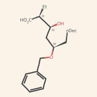 CCCCCCCCCCC[C@H](C[C@H](O)[C@H](CC)C(=O)O)OCc1ccccc1